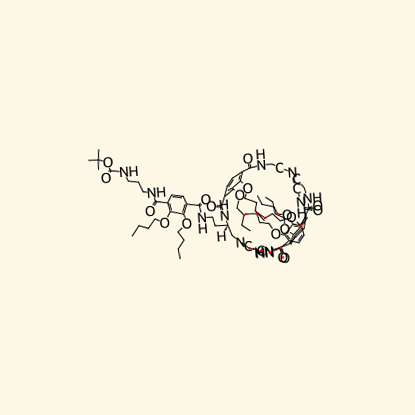 CCCCOc1c(C(=O)NCCCNC(=O)OC(C)(C)C)ccc(C(=O)NCC[C@H]2CN3CCNC(=O)c4ccc(c(OCCCC)c4OCCCC)C(=O)NCCN(CCNC(=O)c4ccc(c(OCCCC)c4OCCCC)C(=O)NCC3)CCNC(=O)c3ccc(c(OCCCC)c3OCCCC)C(=O)N2)c1OCCCC